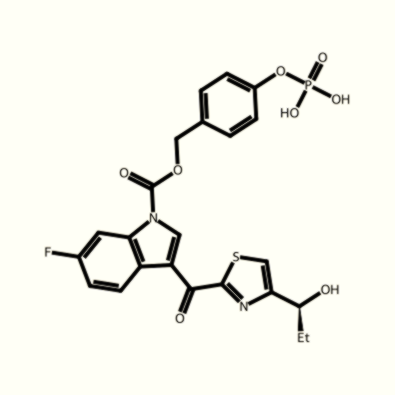 CC[C@H](O)c1csc(C(=O)c2cn(C(=O)OCc3ccc(OP(=O)(O)O)cc3)c3cc(F)ccc23)n1